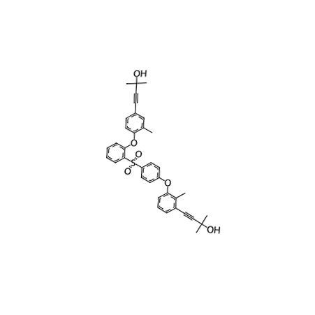 Cc1cc(C#CC(C)(C)O)ccc1Oc1ccccc1S(=O)(=O)c1ccc(Oc2cccc(C#CC(C)(C)O)c2C)cc1